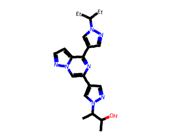 CCC(CC)n1cc(-c2nc(-c3cnn(C(C)C(C)O)c3)cn3nccc23)cn1